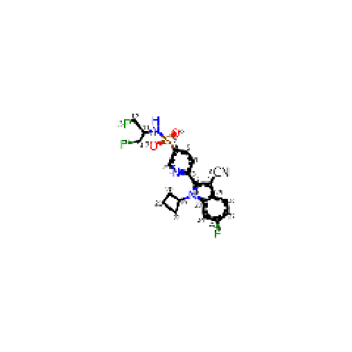 N#Cc1c(-c2ccc(S(=O)(=O)NC(CF)CF)cn2)n(C2CCC2)c2cc(F)ccc12